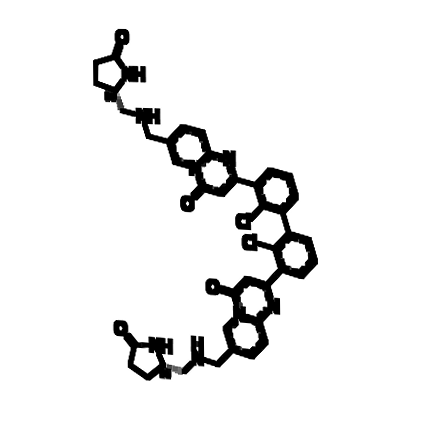 O=C1CC[C@@H](CNCc2ccc3nc(-c4cccc(-c5cccc(-c6cc(=O)n7cc(CNC[C@@H]8CCC(=O)N8)ccc7n6)c5Cl)c4Cl)cc(=O)n3c2)N1